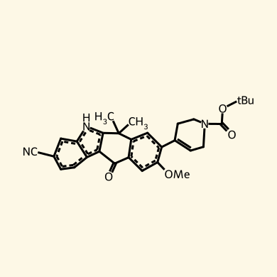 COc1cc2c(cc1C1=CCN(C(=O)OC(C)(C)C)CC1)C(C)(C)c1[nH]c3cc(C#N)ccc3c1C2=O